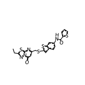 CCc1nn2c(=O)cc(CSc3cc4ccc(NC(=O)c5cccs5)cc4s3)nc2s1